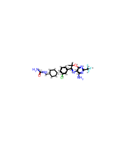 CC1(C)Oc2nc(C(F)(F)F)nc(N)c2N=C1c1ccc([C@H]2CC[C@H](CNC(N)=O)CC2)c(Cl)c1